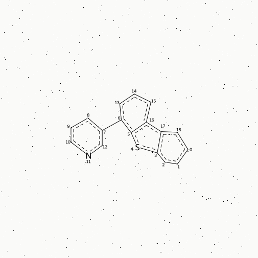 [c]1ccc2sc3c(-c4cccnc4)cccc3c2c1